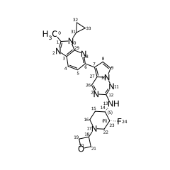 Cc1nc2ccc(-c3ccn4nc(N[C@H]5CCN(C6COC6)C[C@H]5F)ncc34)nc2n1C1CC1